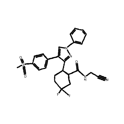 CS(=O)(=O)c1ccc(-c2cn(-c3ccccc3)nc2C2CCC(F)(F)CC2C(=O)NCC#N)cc1